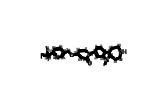 Cn1c2c(c3ccc(-n4ccc(OCc5ccc(C(F)(F)F)nc5)cc4=O)cc31)CCNCC2